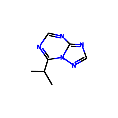 CC(C)c1ncnc2ncnn12